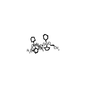 CCCO[Si](OCC)(C1CCCCC1)C1CCCC1C.CO[Si](OC)(C1CCCCC1)C1C(C)CCC1C